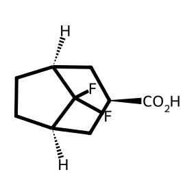 O=C(O)[C@H]1C[C@H]2CC[C@@H](C1)C2(F)F